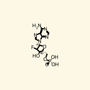 Nc1ncnc2c1ncn2[C@@H]1O[C@H](COP(=O)(O)O)[C@@H](O)C1F